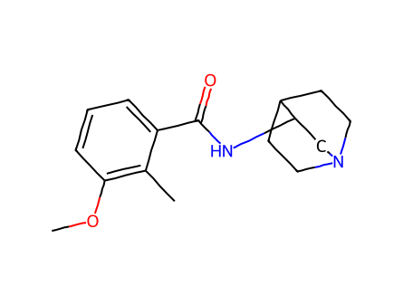 COc1cccc(C(=O)NC2CN3CCC2CC3)c1C